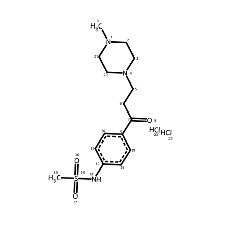 CN1CCN(CCC(=O)c2ccc(NS(C)(=O)=O)cc2)CC1.Cl.Cl